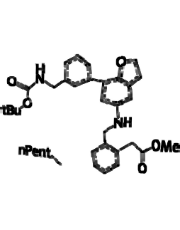 CCCCCC.COC(=O)Cc1ccccc1CNc1cc(-c2cccc(CNC(=O)OC(C)(C)C)c2)c2occc2c1